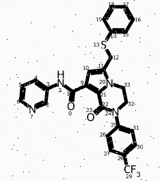 O=C(Nc1cccnc1)c1cc(CSc2ccccc2)n2c1C(=O)N(c1ccc(C(F)(F)F)cc1)CC2